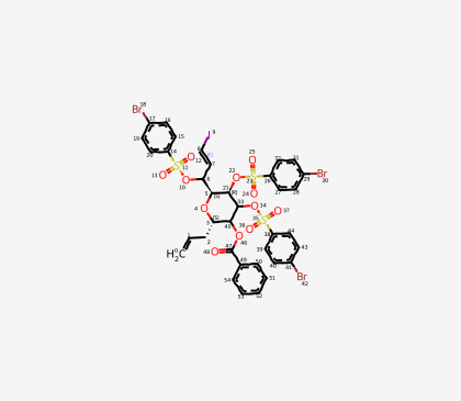 C=CC[C@@H]1O[C@@H](C(/C=C/I)OS(=O)(=O)c2ccc(Br)cc2)[C@@H](OS(=O)(=O)c2ccc(Br)cc2)C(OS(=O)(=O)c2ccc(Br)cc2)C1OC(=O)c1ccccc1